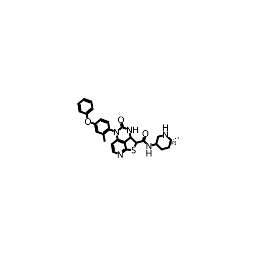 Cc1cc(Oc2ccccc2)ccc1N1C(=O)NC2c3c1ccnc3SC2C(=O)NC1CC[C@@H](C)NC1